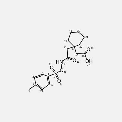 Cc1ccc(S(=O)(=O)ONC(=O)CC2(CC(=O)O)CCCCC2)cc1